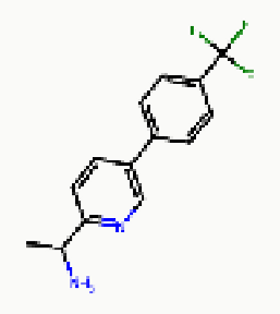 C[C@H](N)c1ccc(-c2ccc(C(F)(F)F)cc2)cn1